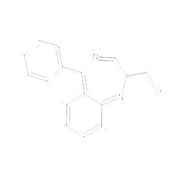 O=CC1C=NC(c2ccccc2)=c2ccccc2=N1